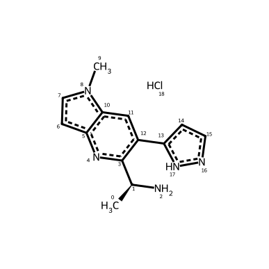 C[C@H](N)c1nc2ccn(C)c2cc1-c1ccn[nH]1.Cl